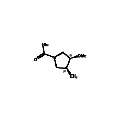 CO[C@@H]1CN(C(=O)C(C)(C)C)C[C@@H]1C